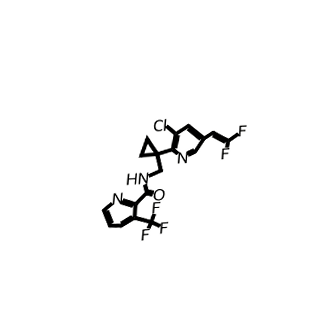 O=C(NCC1(c2ncc(C=C(F)F)cc2Cl)CC1)c1ncccc1C(F)(F)F